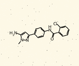 Cn1nc(-c2ccc(NC(=O)c3ccccc3Cl)cc2)cc1N